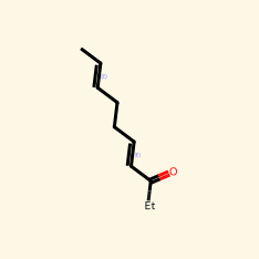 C/C=C/CC/C=C/C(=O)CC